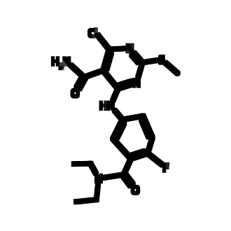 CCN(CC)C(=O)c1cc(Nc2nc(SC)nc(Cl)c2C(N)=O)ccc1F